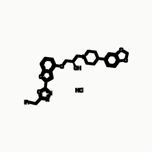 CC(C)Cc1nnc(-c2cc3c(OC[C@@H](O)CN4CCC(c5ccc6c(c5)OCO6)CC4)cccc3o2)o1.Cl